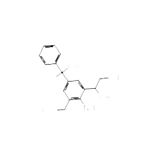 CCc1cc(C(C)(C)c2ccccc2)cc(C(C)CC)c1N